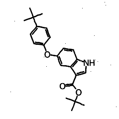 CC(C)(C)OC(=O)c1c[nH]c2ccc(Oc3ccc(C(C)(C)C)cc3)cc12